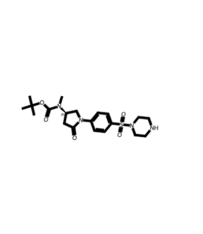 CN(C(=O)OC(C)(C)C)[C@@H]1CC(=O)N(c2ccc(S(=O)(=O)N3CCNCC3)cc2)C1